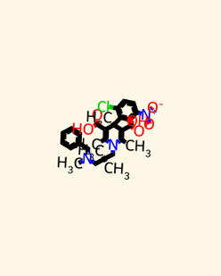 CC1=C(C(=O)O)C(C)(c2cc([N+](=O)[O-])ccc2Cl)C(C(=O)O)=C(C)N1CC(C)(C)CN(C)Cc1ccccc1